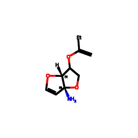 C=C(CC)OC1CO[C@]2(N)C=CO[C@H]12